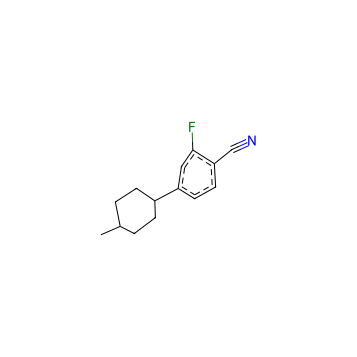 CC1CCC(c2ccc(C#N)c(F)c2)CC1